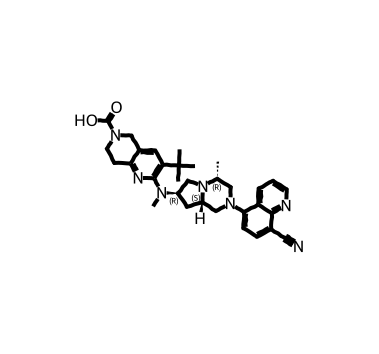 C[C@@H]1CN(c2ccc(C#N)c3ncccc23)C[C@@H]2C[C@@H](N(C)c3nc4c(cc3C(C)(C)C)CN(C(=O)O)CC4)CN21